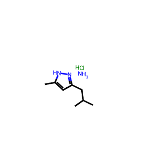 Cc1cc(CC(C)C)n[nH]1.Cl.N